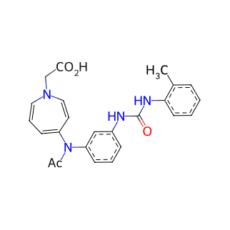 CC(=O)N(C1=CC=CN(CC(=O)O)C=C1)c1cccc(NC(=O)Nc2ccccc2C)c1